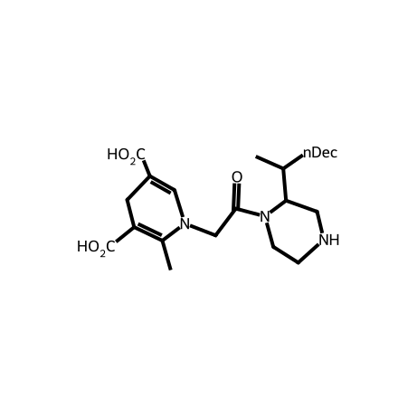 CCCCCCCCCCC(C)C1CNCCN1C(=O)CN1C=C(C(=O)O)CC(C(=O)O)=C1C